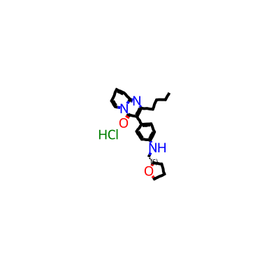 CCCCc1nc2ccccn2c(=O)c1-c1ccc(NC[C@@H]2CCCO2)cc1.Cl